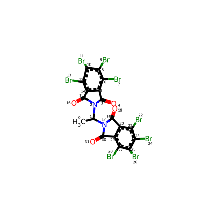 CC(N1C(=O)c2c(Br)c(Br)c(Br)c(Br)c2C1=O)N1C(=O)c2c(Br)c(Br)c(Br)c(Br)c2C1=O